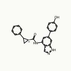 O=C(Nc1cc(-c2ccc(O)cc2)cc2[nH]ncc12)[C@H]1CC1c1ccccc1